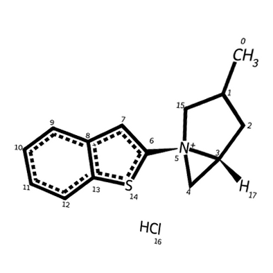 CC1C[C@@H]2C[N@+]2(c2cc3ccccc3s2)C1.Cl